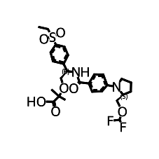 CCS(=O)(=O)c1ccc([C@H](COC(C)(C)C(=O)O)NC(=O)c2ccc(N3CCC[C@H]3COC(F)F)cc2)cc1